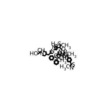 Cc1ncsc1-c1ccc([C@H](C)NC(=O)[C@@H]2C[C@@H](O[Si](c3ccccc3)(c3ccccc3)C(C)(C)C)CN2C(=O)C(c2cc(N3CC(CC4CCN([C@@H](C)CO)CC4)C3)no2)C(C)C)cc1